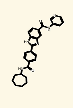 O=C(Nc1cccnc1)c1ccc2[nH]c(-c3ccc(C(=O)NC4CCCCCC4)cc3)nc2c1